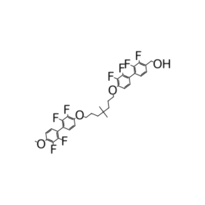 COc1ccc(-c2ccc(OCCCC(C)(C)CCCOc3ccc(-c4ccc(CO)c(F)c4F)c(F)c3F)c(F)c2F)c(F)c1F